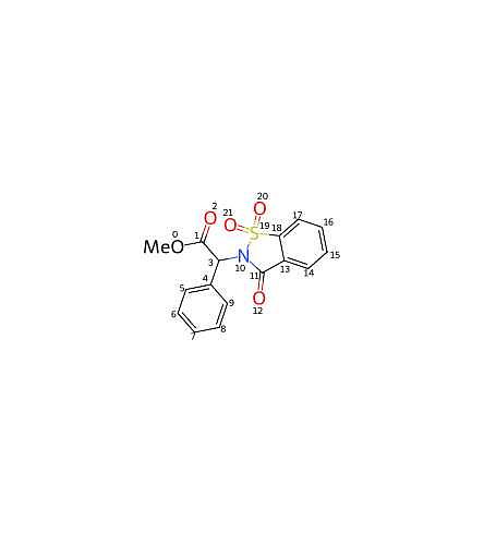 COC(=O)C(c1ccccc1)N1C(=O)c2ccccc2S1(=O)=O